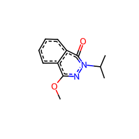 COc1nn(C(C)C)c(=O)c2ccccc12